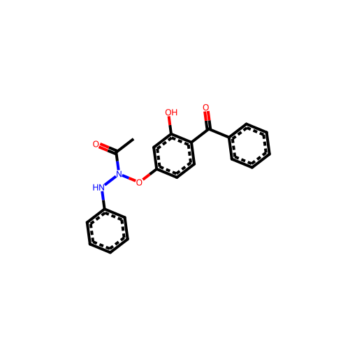 CC(=O)N(Nc1ccccc1)Oc1ccc(C(=O)c2ccccc2)c(O)c1